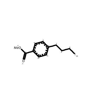 COC(=O)c1ccc(CCCI)cc1